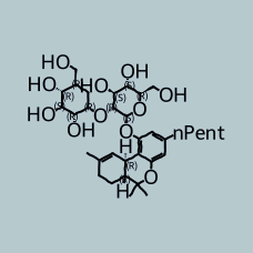 CCCCCc1cc(O[C@@H]2O[C@H](CO)[C@@H](O)[C@H](O)[C@H]2O[C@@H]2C[C@H](CO)[C@@H](O)[C@H](O)[C@H]2O)c2c(c1)OC(C)(C)[C@@H]1CCC(C)=C[C@@H]21